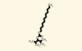 CCCCCCCCCCCCOC(=O)OC(C(C)C)C(C)C